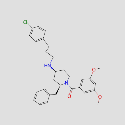 COc1cc(OC)cc(C(=O)N2CC[C@H](NCCCc3ccc(Cl)cc3)C[C@@H]2Cc2ccccc2)c1